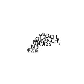 CSC(C)C(=O)C(C)Oc1ccc(Oc2nc3nc(CF)ccc3[nH]2)cc1